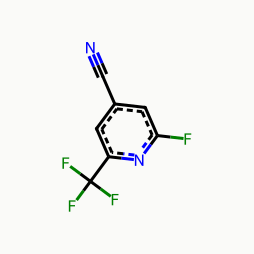 N#Cc1cc(F)nc(C(F)(F)F)c1